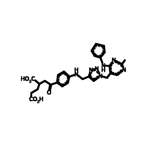 Cc1ncc(Cn2cc(CNc3ccc(C(=O)CC(CCC(=O)O)C(=O)O)cc3)nn2)c(Nc2ccccc2)n1